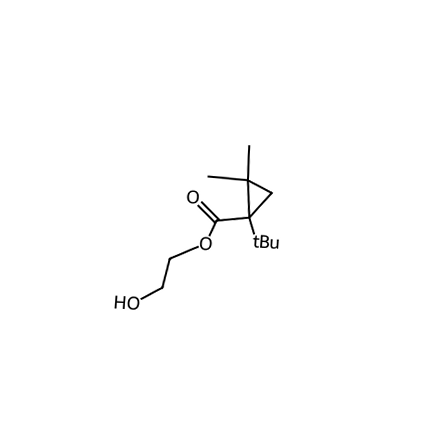 CC(C)(C)C1(C(=O)OCCO)CC1(C)C